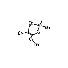 CCCOC(O[Si](C)(C)CC)=C(CC)CC